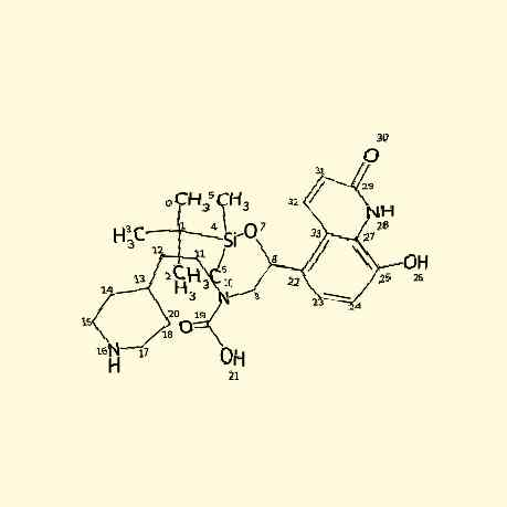 CC(C)(C)[Si](C)(C)OC(CN(CCC1CCNCC1)C(=O)O)c1ccc(O)c2[nH]c(=O)ccc12